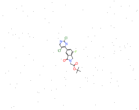 CC(C)(C)OC(=O)CN1Cc2c(F)cc(-c3nc(Cl)ncc3Cl)cc2C1=O